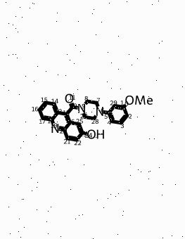 COc1cccc(N2CCN(C(=O)c3c4ccccc4nc4ccc(O)cc34)CC2)c1